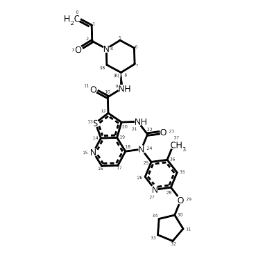 C=CC(=O)N1CCC[C@@H](NC(=O)c2sc3nccc4c3c2NC(=O)N4c2cnc(OC3CCCC3)cc2C)C1